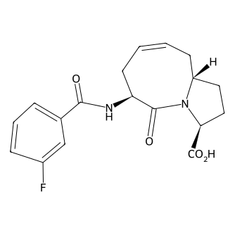 O=C(N[C@H]1CC=CC[C@@H]2CC[C@@H](C(=O)O)N2C1=O)c1cccc(F)c1